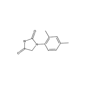 Cc1ccc(N2CC(=O)[N]C2=O)c(C)c1